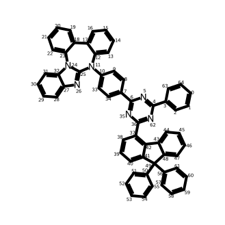 c1ccc(-c2nc(-c3ccc(N4c5ccccc5-c5ccccc5-n5c4nc4ccccc45)cc3)nc(-c3cccc4c3-c3ccccc3C4(c3ccccc3)c3ccccc3)n2)cc1